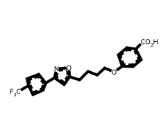 O=C(O)c1ccc(OCCCCc2cc(-c3ccc(C(F)(F)F)cc3)no2)cc1